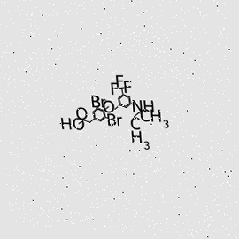 CCC(C)Nc1cc(COc2c(Br)cc(CC(=O)O)cc2Br)cc(C(F)(F)F)c1